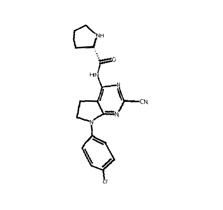 N#Cc1nc(NC(=O)[C@@H]2CCCN2)c2c(n1)N(c1ccc(Cl)cc1)CC2